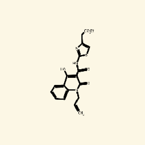 C=CCn1c(=O)c(C(=O)Nc2nc(CC(=O)OCC)cs2)c(O)c2ccccc21